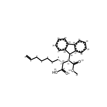 C=CCCCCC[C@@H](C(=O)O)N(C(=O)OC)C1c2ccccc2-c2ccccc21